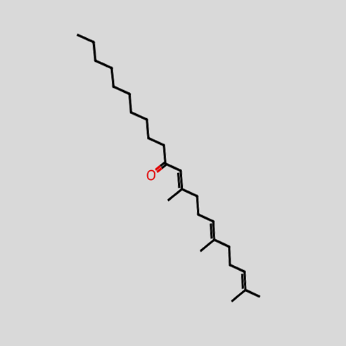 CCCCCCCCCCC(=O)/C=C(\C)CC/C=C(\C)CCC=C(C)C